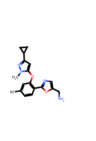 Cn1nc(C2CC2)cc1Oc1cc(C#N)ccc1-c1ncc(CN)o1